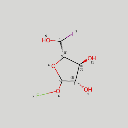 OC(I)[C@H]1OC(OF)[C@@H](O)[C@@H]1O